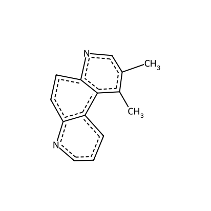 Cc1cnc2ccc3ncccc3c2c1C